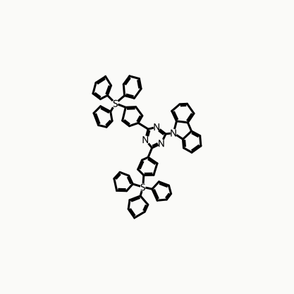 c1ccc(S(c2ccccc2)(c2ccccc2)c2ccc(-c3nc(-c4ccc(S(c5ccccc5)(c5ccccc5)c5ccccc5)cc4)nc(-n4c5ccccc5c5ccccc54)n3)cc2)cc1